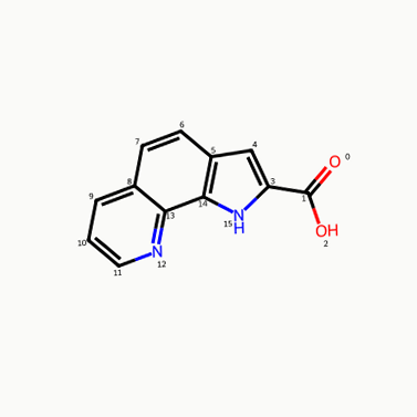 O=C(O)c1cc2ccc3cccnc3c2[nH]1